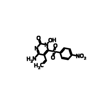 C=Cc1c(N)nc(=O)n(O)c1S(=O)(=O)c1ccc([N+](=O)[O-])cc1